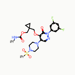 CC(C)NC(=O)OCC1(COc2c(N3CCN(S(=O)(=O)C(C)C)CC3)cnn(-c3cc(F)cc(F)c3)c2=O)CC1